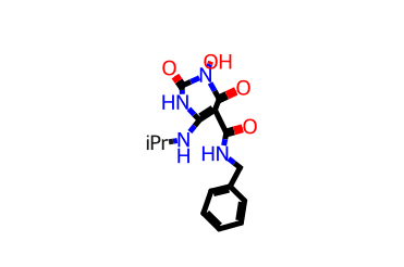 CC(C)Nc1[nH]c(=O)n(O)c(=O)c1C(=O)NCc1ccccc1